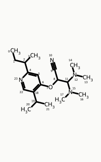 CCC(C)c1cc(OC(C#N)C(N(C)C)N(C)C)c(C(C)C)cn1